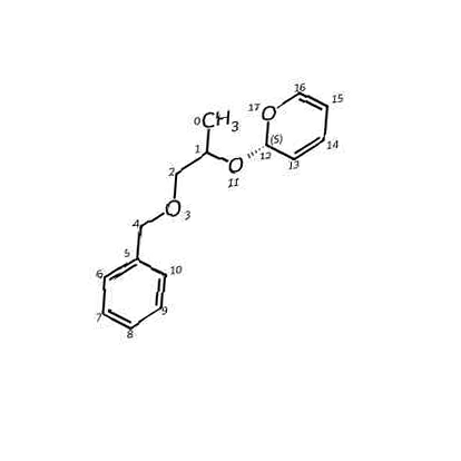 CC(COCc1ccccc1)O[C@H]1C=CC=CO1